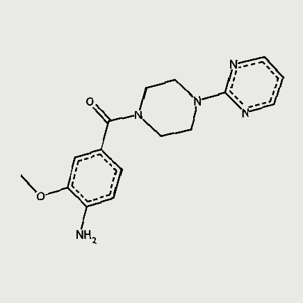 COc1cc(C(=O)N2CCN(c3ncccn3)CC2)ccc1N